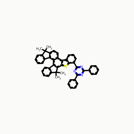 CC1(C)c2ccccc2-c2c1ccc1c2c2c(c3sc4c(-c5nc(-c6ccccc6)nc(-c6ccccc6)n5)cccc4c31)C(C)(C)c1ccccc1-2